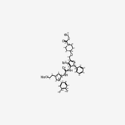 COCCN1C[C@@H](NC(=O)Nc2c(Br)c(COC3CCN(C(=O)OC(C)(C)C)CC3)nn2-c2ccccc2)[C@H](c2ccc(F)c(F)c2)C1